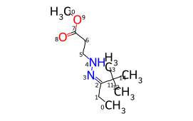 CC/C(=N/NCCC(=O)OC)C(C)(C)C